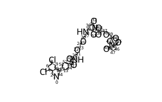 CN1Cc2c(Cl)cc(Cl)cc2[C@H](c2ccc(S(=O)(=O)NCCOCCOCCNC3CC(=O)N(OC(=O)COCC(=O)ON4C(=O)CCC4=O)C3=O)cc2)C1